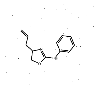 C=CCC1COC(Nc2ccccc2)=N1